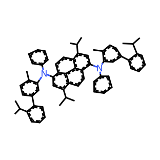 Cc1ccc(-c2ccccc2C(C)C)cc1N(c1ccccc1)c1cc(C(C)C)c2ccc3c(N(c4ccccc4)c4cc(-c5ccccc5C(C)C)ccc4C)cc(C(C)C)c4ccc1c2c43